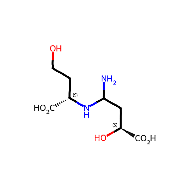 NC(C[C@H](O)C(=O)O)N[C@@H](CCO)C(=O)O